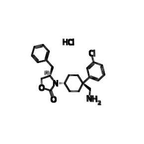 Cl.NC[C@]1(c2cccc(Cl)c2)CC[C@@H](N2C(=O)OC[C@H]2Cc2ccccc2)CC1